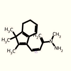 C=C(/C=C\C1=C(C)C(C)(C)C2=C1C=CCC2)N(C)N